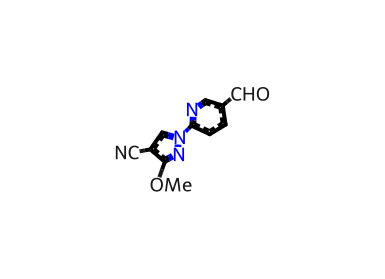 COc1nn(-c2ccc(C=O)cn2)cc1C#N